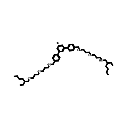 CCCCC(CC)CNCCCNCCCNCc1ccc(-c2cccc(-c3ccc(CNCCCNCCCNCC(CC)CCCC)cc3)c2)cc1.Cl